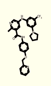 Cc1ncc(Nc2cc(N3CCCC3)cc(C(F)(F)F)c2)cc1C(=O)Nc1ccc(OCc2ccccn2)cc1